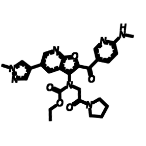 CCOC(=O)N(CC(=O)N1CCCC1)c1c(C(=O)c2ccc(NC)nc2)oc2ncc(-c3cnn(C)c3)cc12